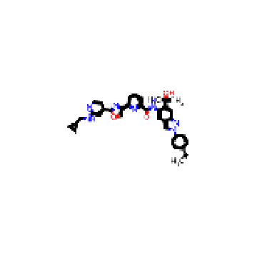 CC[C@H]1CC[C@H](n2cc3cc(NC(=O)c4cccc(-c5coc(-c6ccnc(NCC7CC7)c6)n5)n4)c(C(C)(C)O)cc3n2)CC1